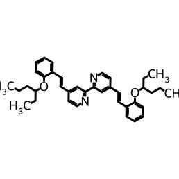 CCCC(CC)Oc1ccccc1C=Cc1ccnc(-c2cc(C=Cc3ccccc3OC(CC)CCC)ccn2)c1